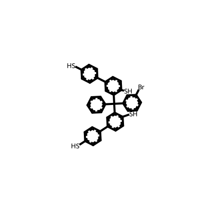 Sc1ccc(-c2ccc(S)c(C(c3ccccc3)(c3cccc(Br)c3)c3cc(-c4ccc(S)cc4)ccc3S)c2)cc1